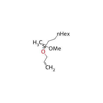 C=CCO[Si](C)(CCCCCCCC)OC